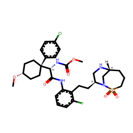 COC(=O)N[C@H](C(=O)Nc1cccc(F)c1CC[C@H]1CN[C@@H]2CCCS(=O)(=O)N1C2)[C@]1(c2ccc(Cl)cc2)CC[C@H](OC)CC1